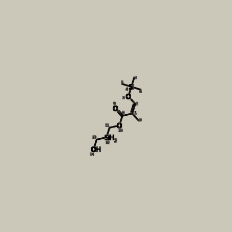 CC(=CO[Si](C)(C)C)C(=O)OC[SiH2]CO